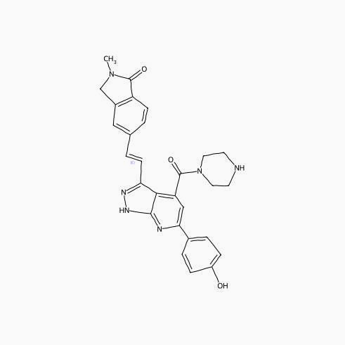 CN1Cc2cc(/C=C/c3n[nH]c4nc(-c5ccc(O)cc5)cc(C(=O)N5CCNCC5)c34)ccc2C1=O